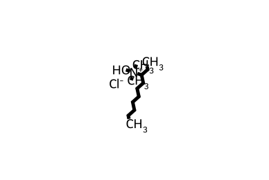 CCCCCCCC(CC)[N+](C)(C)O.[Cl-]